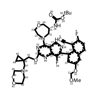 C#Cc1c(F)ccc2cc(OCOC)cc(-c3ncc4c(N5CCOC[C@H](NC(=O)OC(C)(C)C)C5)nc(OCC5(CN6CCOCC6)CC5)nc4c3F)c12